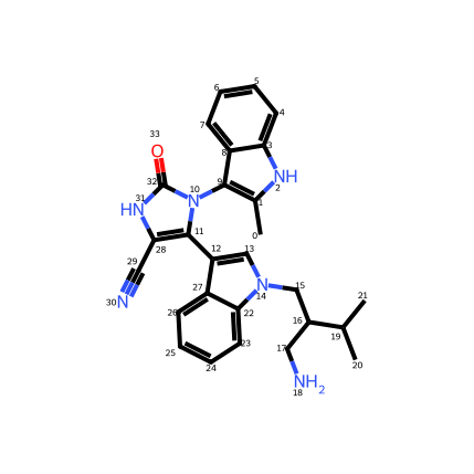 Cc1[nH]c2ccccc2c1-n1c(-c2cn(CC(CN)C(C)C)c3ccccc23)c(C#N)[nH]c1=O